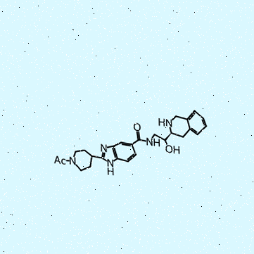 CC(=O)N1CCC(c2nc3cc(C(=O)NCC(O)[C@@H]4Cc5ccccc5CN4)ccc3[nH]2)CC1